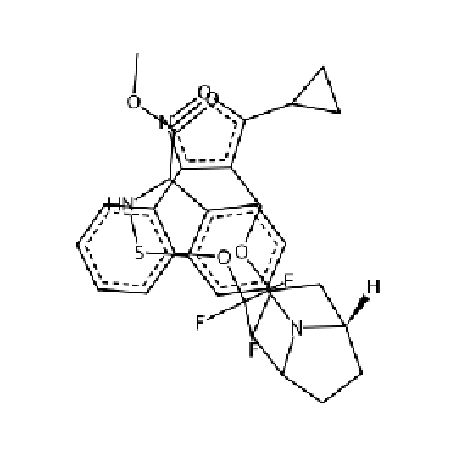 COC(=O)C1NSc2cc(N3C4CC[C@H]3CC(OCc3c(-c5ccccc5OC(F)(F)F)noc3C3CC3)C4)ccc21